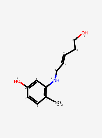 O=[N+]([O-])c1ccc(O)cc1NC/C=C/CCO